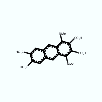 CNc1c(C(=O)O)c(C(=O)O)c(NC)c2cc3cc(C(=O)O)c(C(=O)O)cc3cc12